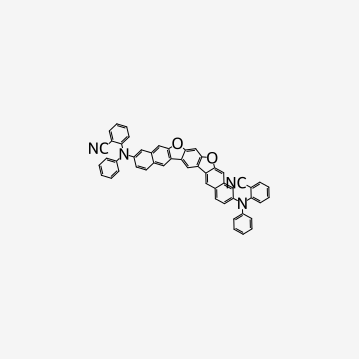 N#Cc1ccccc1N(c1ccccc1)c1ccc2cc3c(cc2c1)oc1cc2oc4cc5cc(N(c6ccccc6)c6ccccc6C#N)ccc5cc4c2cc13